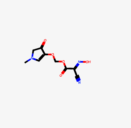 CN1C=C(OCOC(=O)C(C#N)=NO)C(=O)C1